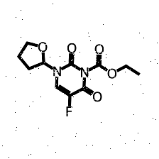 CCOC(=O)n1c(=O)c(F)cn(C2CCCO2)c1=O